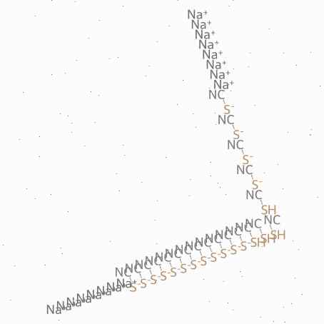 N#CS.N#CS.N#CS.N#CS.N#C[S-].N#C[S-].N#C[S-].N#C[S-].N#C[S-].N#C[S-].N#C[S-].N#C[S-].N#C[S-].N#C[S-].N#C[S-].N#C[S-].N#C[S-].N#C[S-].N#C[S-].N#C[S-].[Na+].[Na+].[Na+].[Na+].[Na+].[Na+].[Na+].[Na+].[Na+].[Na+].[Na+].[Na+].[Na+].[Na+].[Na+].[Na+]